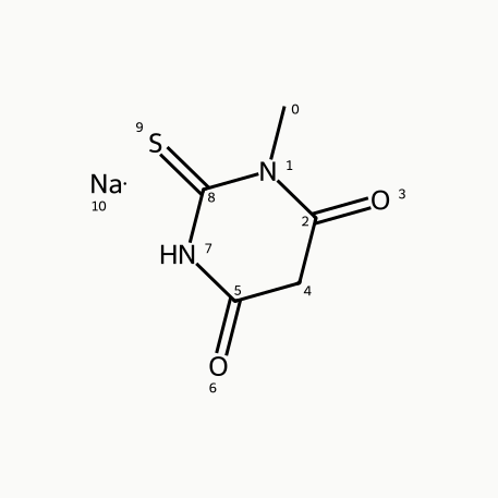 CN1C(=O)CC(=O)NC1=S.[Na]